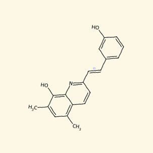 Cc1cc(C)c2ccc(/C=C/c3cccc(O)c3)nc2c1O